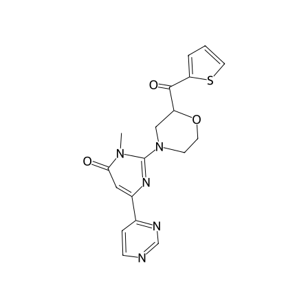 Cn1c(N2CCOC(C(=O)c3cccs3)C2)nc(-c2ccncn2)cc1=O